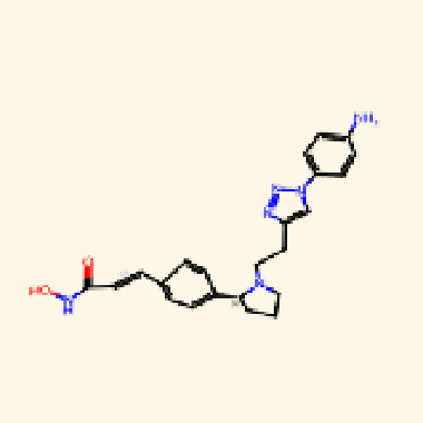 Nc1ccc(-n2cc(CCN3CCC[C@H]3c3ccc(/C=C/C(=O)NO)cc3)nn2)cc1